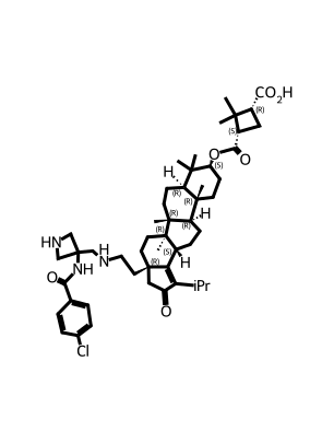 CC(C)C1=C2[C@H]3CC[C@@H]4[C@@]5(C)CC[C@H](OC(=O)[C@H]6C[C@@H](C(=O)O)C6(C)C)C(C)(C)[C@@H]5CC[C@@]4(C)[C@]3(C)CC[C@@]2(CCNCC2(NC(=O)c3ccc(Cl)cc3)CNC2)CC1=O